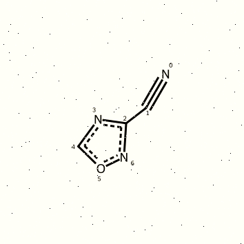 N#Cc1ncon1